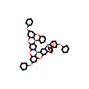 c1ccc(Oc2cc3c4c(c2)Oc2cc5c(cc2B4c2ccccc2O3)B2c3cc4c(cc3Oc3cc(Oc6ccccc6)cc(c32)O5)Oc2cc(Oc3ccccc3)cc3c2B4c2ccccc2O3)cc1